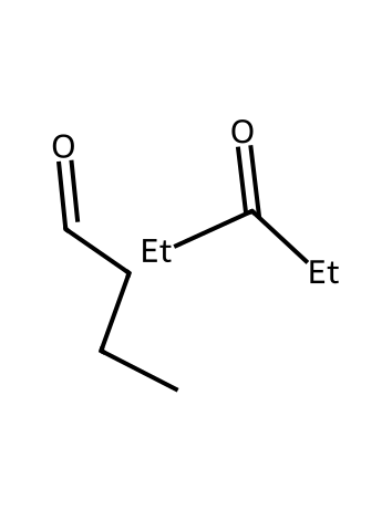 CCC(=O)CC.CCCC=O